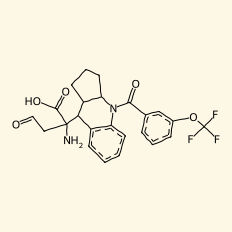 NC(CC=O)(C(=O)O)C1c2ccccc2N(C(=O)c2cccc(OC(F)(F)F)c2)C2CCCC21